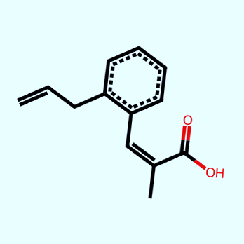 C=CCc1ccccc1C=C(C)C(=O)O